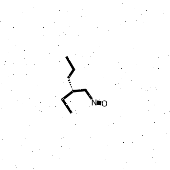 CCC[C@@H](CC)CN=O